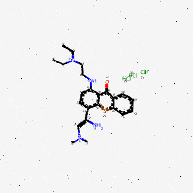 CCN(CC)CCNc1ccc(C(N)=CN(C)C)c2sc3ccccc3c(=O)c12.Cl.Cl.Cl